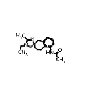 CCN1CC2(CCc3c(cccc3NC(C)=O)C2)N=C1C